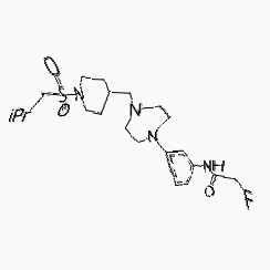 CC(C)CS(=O)(=O)N1CCC(CN2CCN(c3cccc(NC(=O)CF)c3)CC2)CC1